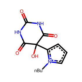 CCCCn1cccc1C1(O)C(=O)NC(=O)NC1=O